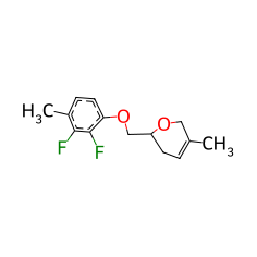 CC1=CCC(COc2ccc(C)c(F)c2F)OC1